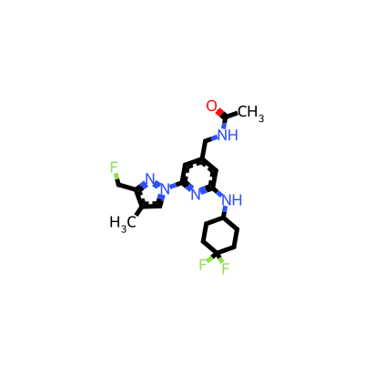 CC(=O)NCc1cc(NC2CCC(F)(F)CC2)nc(-n2cc(C)c(CF)n2)c1